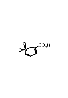 O=C(O)C1=CC=CS(=O)(=O)C1